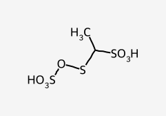 CC(SOS(=O)(=O)O)S(=O)(=O)O